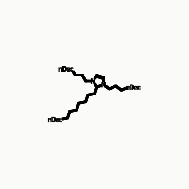 CCCCCCCCCCCCCCCCCC1N(CCCCCCCCCCCCC)C=CN1CCCCCCCCCCCCC